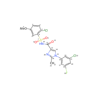 COc1ccc(Cl)c(S(=O)(=O)NC(=O)c2cn(-c3cc(F)cc(Cl)c3)c(C)n2)c1